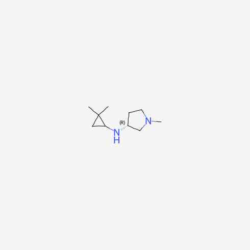 CN1CC[C@@H](NC2CC2(C)C)C1